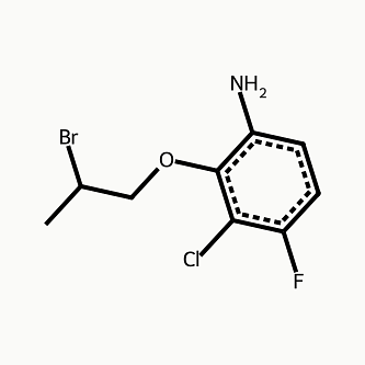 CC(Br)COc1c(N)ccc(F)c1Cl